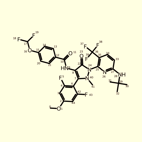 COc1cc(F)c(-c2c(NC(=O)c3ccc(OC(F)F)cc3)c(=O)n(-c3nc(NC(C)(C)C)ccc3C(F)(F)F)n2C)c(F)c1